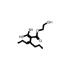 CCC=C(CCC)C(C(=O)OCCO)=C(S)S